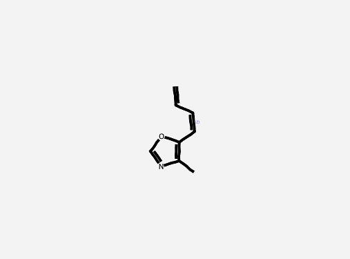 C=C/C=C\c1ocnc1C